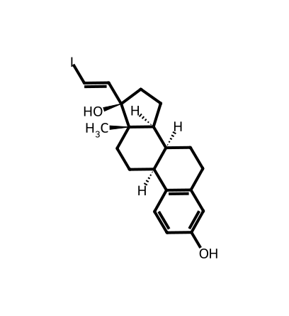 C[C@]12CC[C@@H]3c4ccc(O)cc4CC[C@@H]3[C@@H]1CC[C@@]2(O)/C=C/I